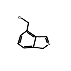 ClCc1cccc2c1C=NC2